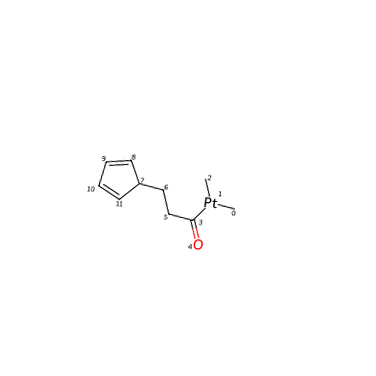 [CH3][Pt]([CH3])[C](=O)CCC1C=CC=C1